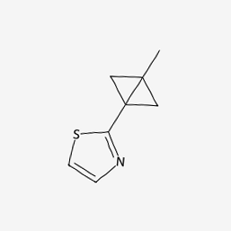 CC12CC1(c1nccs1)C2